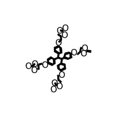 C=C1OCC(COc2ccc(C(c3ccc(OCC4COC(=O)O4)cc3)C(c3ccc(OCC4COC(=O)O4)cc3)c3ccc(OCC4COC(=O)O4)cc3)cc2)O1